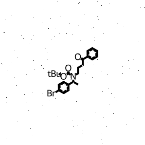 CC(c1ccc(Br)cc1)N(CCCC(=O)c1ccccc1)C(=O)OC(C)(C)C